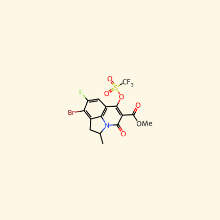 COC(=O)c1c(OS(=O)(=O)C(F)(F)F)c2cc(F)c(Br)c3c2n(c1=O)C(C)C3